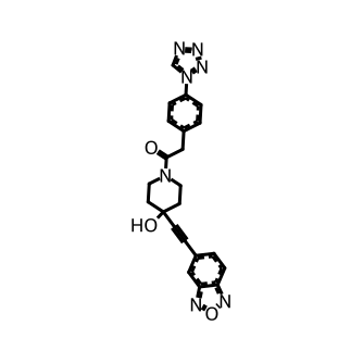 O=C(Cc1ccc(-n2cnnn2)cc1)N1CCC(O)(C#Cc2ccc3nonc3c2)CC1